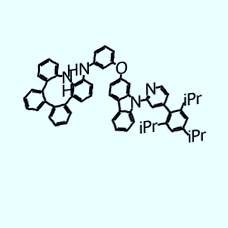 CC(C)c1cc(C(C)C)c(-c2ccnc(-n3c4ccccc4c4ccc(Oc5cccc(Nc6cccc7c6[nH]c6ccccc6c6ccccc6c6ccccc76)c5)cc43)c2)c(C(C)C)c1